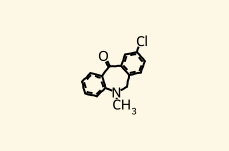 CN1Cc2ccc(Cl)cc2C(=O)c2ccccc21